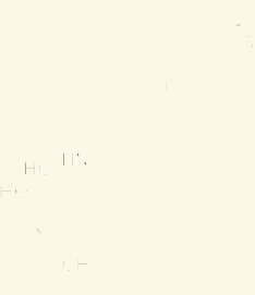 OCc1ccc(O)c(C(O)CNCCCCCCOCCCc2ccsc2)c1